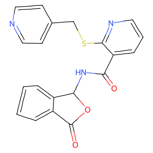 O=C1OC(NC(=O)c2cccnc2SCc2ccncc2)c2ccccc21